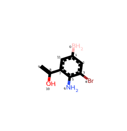 Bc1cc(Br)c(N)c(C(=C)O)c1